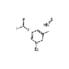 CCN1C=CC=C(C)C1.FC(F)F.N=S